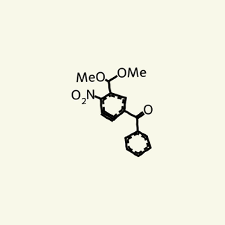 COC(OC)c1cc(C(=O)c2ccccc2)c#cc1[N+](=O)[O-]